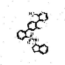 Nc1nccnc1-c1ccc(-c2ccccc2S(=O)(=O)N[C@H]2CCc3ccccc32)cc1F